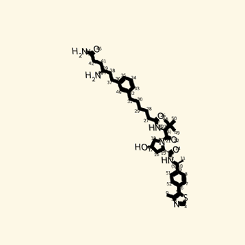 Cc1ncsc1-c1ccc([C@H](C)NC(=O)[C@@H]2C[C@@H](O)CN2C(=O)[C@@H](NC(=O)CCCCCc2cccc(CC[C@@H](N)CCC(N)=O)c2)C(C)(C)C)cc1